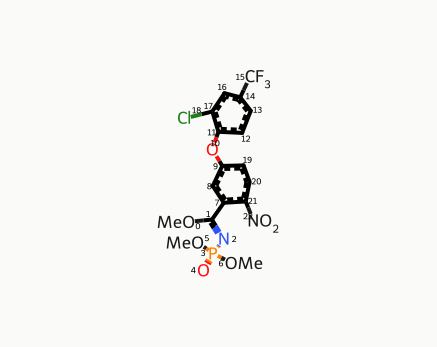 COC(=NP(=O)(OC)OC)c1cc(Oc2ccc(C(F)(F)F)cc2Cl)ccc1[N+](=O)[O-]